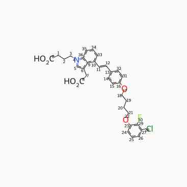 O=C(O)CCCn1cc(CC(=O)O)c2c(C=Cc3ccc(OCCCCOc4cccc(Cl)c4F)cc3)cccc21